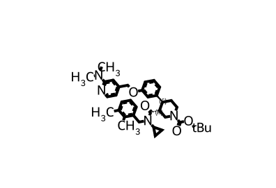 Cc1cccc(CN(C(=O)[C@H]2CN(C(=O)OC(C)(C)C)CC[C@@H]2c2cccc(OCc3ccnc(N(C)C)c3)c2)C2CC2)c1C